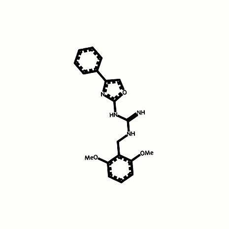 COc1cccc(OC)c1CNC(=N)Nc1nc(-c2ccccc2)co1